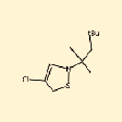 CC(C)(C)CC(C)(C)N1C=C(Cl)CS1